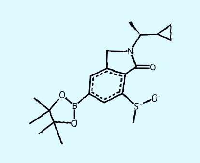 C[C@@H](C1CC1)N1Cc2cc(B3OC(C)(C)C(C)(C)O3)cc([S+](C)[O-])c2C1=O